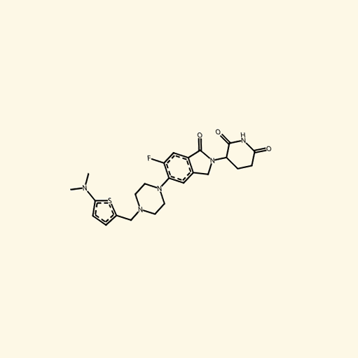 CN(C)c1ccc(CN2CCN(c3cc4c(cc3F)C(=O)N(C3CCC(=O)NC3=O)C4)CC2)s1